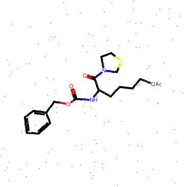 CC(=O)OCCCCC(NC(=O)OCc1ccccc1)C(=O)N1CCSC1